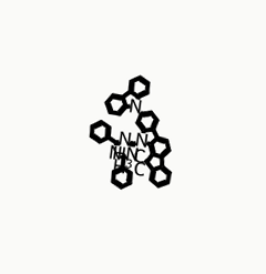 CC1(C)c2ccccc2-c2ccc3c4ccc(-n5c6ccccc6c6ccccc65)cc4n(-c4nc(-c5ccccc5)nc(-c5ccccc5)n4)c3c21